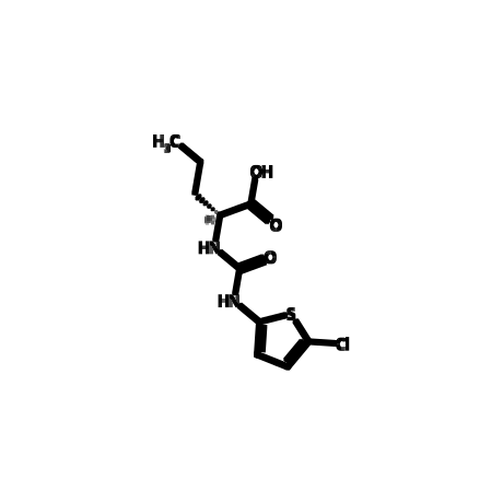 CCC[C@@H](NC(=O)Nc1ccc(Cl)s1)C(=O)O